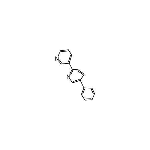 c1ccc(-c2ccc(-c3cccnc3)nc2)cc1